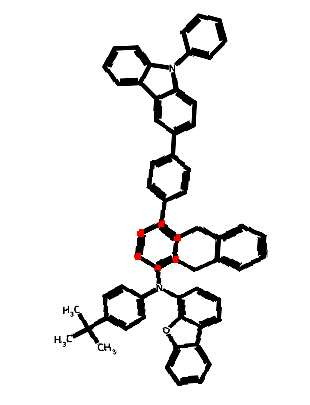 CC(C)(C)c1ccc(N(c2ccc(-c3ccc(-c4ccc5c(c4)c4ccccc4n5-c4ccccc4)cc3)c3c2C2c4ccccc4C3c3ccccc32)c2cccc3c2oc2ccccc23)cc1